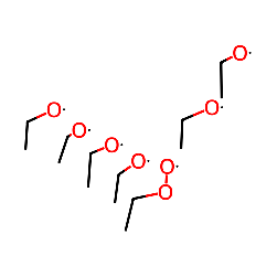 CCO[O].CC[O].CC[O].CC[O].CC[O].CC[O].CC[O]